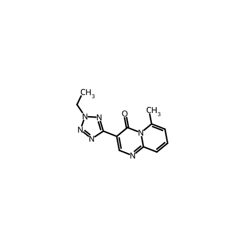 CCn1nnc(-c2cnc3cccc(C)n3c2=O)n1